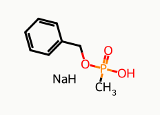 CP(=O)(O)OCc1ccccc1.[NaH]